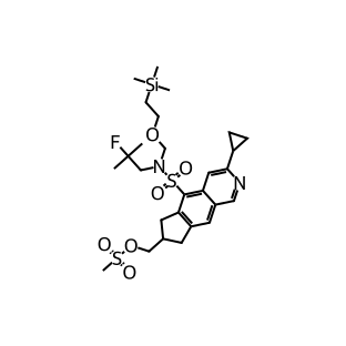 CC(C)(F)CN(COCC[Si](C)(C)C)S(=O)(=O)c1c2c(cc3cnc(C4CC4)cc13)CC(COS(C)(=O)=O)C2